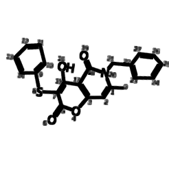 Cc1cc2oc(=O)c(Sc3ccccc3)c(O)c2c(=O)n1Cc1ccccc1